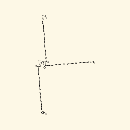 CC#CC#CC#CC#CC#CC#CC#CC#CC#CC#CC#CC(=O)OCC(CC)(COC(=O)C#CC#CC#CC#CC#CC#CC#CC#CC#CC#CC#CC)COC(=O)C#CC#CC#CC#CC#CC#CC#CC#CC#CC#CC#CC